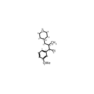 CCC(c1cccc(OC)c1)C(C)CN1CCOCC1